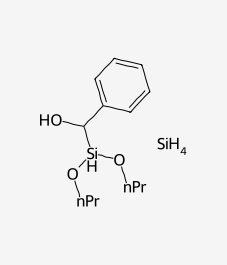 CCCO[SiH](OCCC)C(O)c1ccccc1.[SiH4]